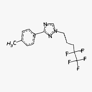 Cc1ccc(-c2ncn(CCCC(F)(F)C(F)(F)F)n2)cc1